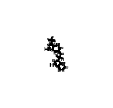 CC(C)(C)c1n[nH]c2cc(CC(C)(C)c3c[nH]c4cccnc34)cnc12